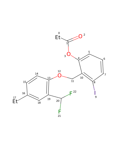 CCC(=O)Oc1cccc(I)c1COc1ccc(CC)cc1C(F)F